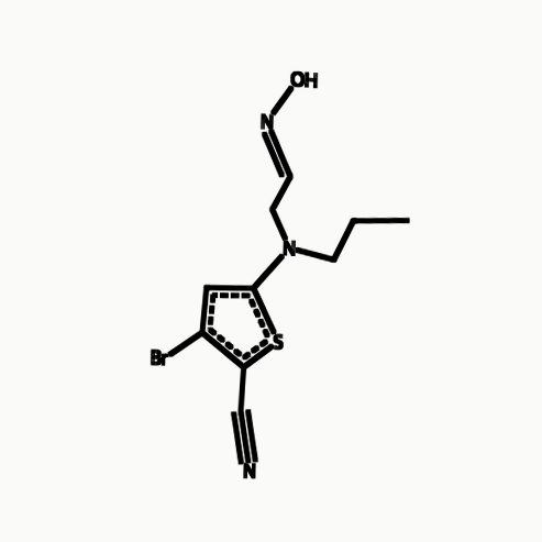 CCCN(CC=NO)c1cc(Br)c(C#N)s1